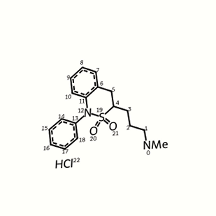 CNCCCC1Cc2ccccc2N(c2ccccc2)S1(=O)=O.Cl